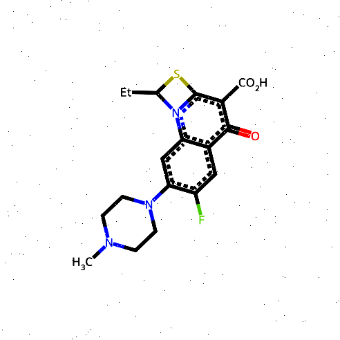 CCC1Sc2c(C(=O)O)c(=O)c3cc(F)c(N4CCN(C)CC4)cc3n21